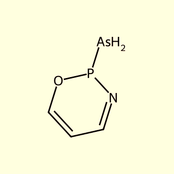 [AsH2]P1N=CC=CO1